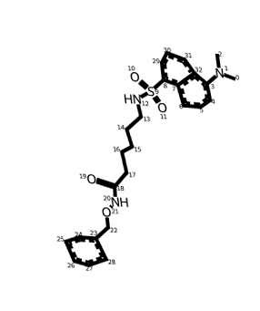 CN(C)c1cccc2c(S(=O)(=O)NCCCCCC(=O)NOCc3ccccc3)cccc12